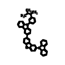 CC(C)C(C)c1cccc(-n2c3ccccc3c3cc(-c4ccc5oc6ccc(-n7c8ccccc8c8ccccc87)cc6c5c4)ccc32)c1